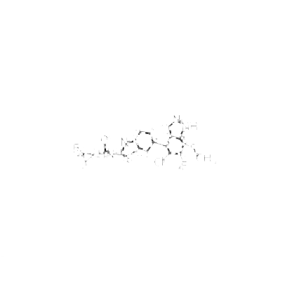 CSc1c(F)c(Cl)c(-c2ccc3nc(NC(=O)[C@@H]4C[C@@H]4F)sc3c2)c2cn[nH]c12